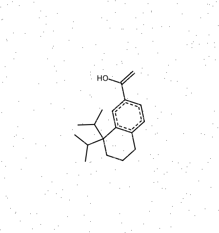 C=C(O)c1ccc2c(c1)C(C(C)C)(C(C)C)CCC2